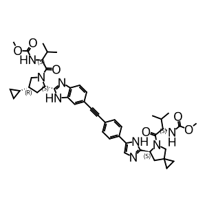 COC(=O)N[C@H](C(=O)N1CC2(CC2)C[C@H]1c1ncc(-c2ccc(C#Cc3ccc4nc([C@@H]5C[C@H](C6CC6)CN5C(=O)[C@@H](NC(=O)OC)C(C)C)[nH]c4c3)cc2)[nH]1)C(C)C